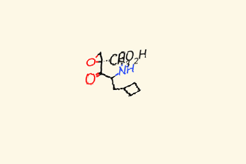 C[C@@]1(C(=O)[C@H](CC2CCC2)NC(=O)O)CO1